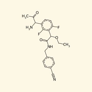 CCOC(C(=O)NCc1ccc(C#N)cc1)c1c(F)ccc(C(N)C(C)=O)c1F